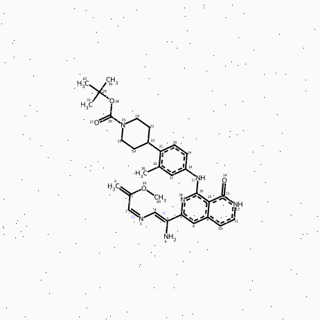 C=C(/C=N\C=C(/N)c1cc2cc[nH]c(=O)c2c(Nc2ccc(C3CCN(C(=O)OC(C)(C)C)CC3)c(C)c2)n1)OC